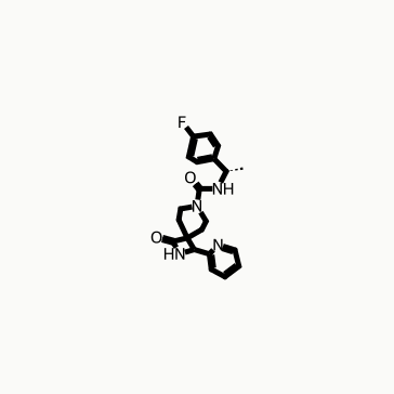 C[C@H](NC(=O)N1CCC2(CC1)C(=O)NC2c1ccccn1)c1ccc(F)cc1